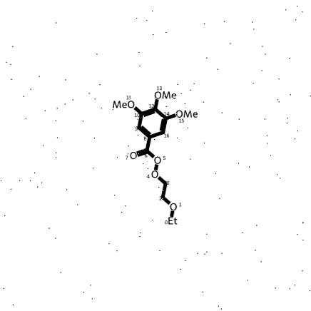 CCOC[CH]OOC(=O)c1cc(OC)c(OC)c(OC)c1